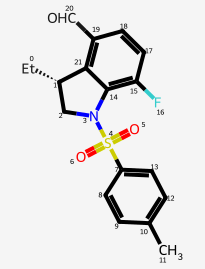 CC[C@H]1CN(S(=O)(=O)c2ccc(C)cc2)c2c(F)ccc(C=O)c21